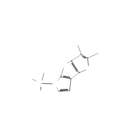 C[Si](C)(C)[SH]1C=Cc2c1sc1c(Br)c(I)sc21